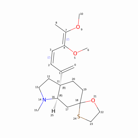 C=C(/C=C\C(OC)=C(/C)OC)[C@@]12CCN(C)[C@@H]1CC1(CC2)OCCS1